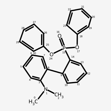 CN(C)c1ccccc1-c1ccccc1P(=O)(Oc1ccccc1)Oc1ccccc1